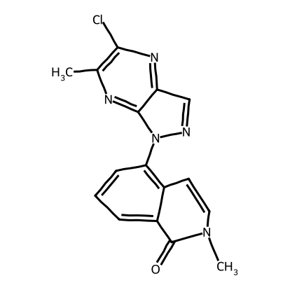 Cc1nc2c(cnn2-c2cccc3c(=O)n(C)ccc23)nc1Cl